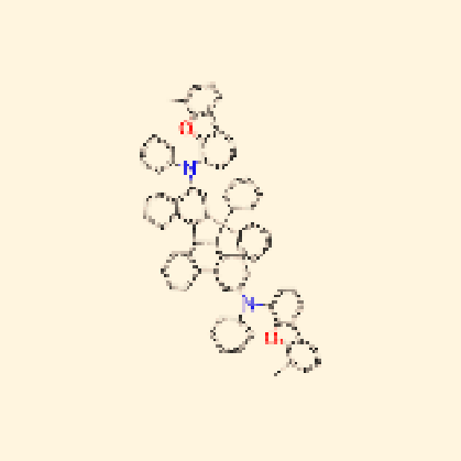 Cc1cccc2c1oc1c(N(c3ccccc3)c3ccc4c5c(c6ccccc6c4c3)-c3c(cc(N(c4ccccc4)c4cccc6c4oc4c(C)cccc46)c4ccccc34)C5(c3ccccc3)c3ccccc3)cccc12